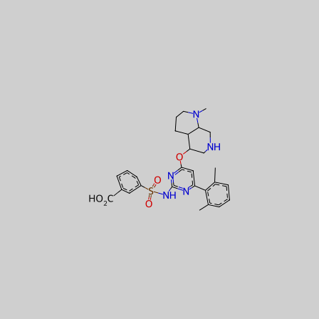 Cc1cccc(C)c1-c1cc(OC2CNCC3C2CCCN3C)nc(NS(=O)(=O)c2cccc(C(=O)O)c2)n1